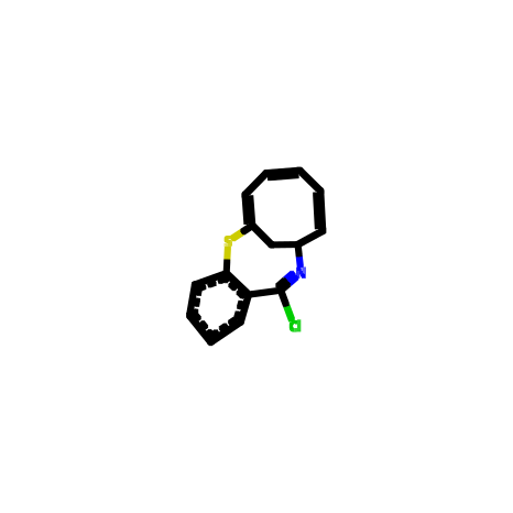 Cl/C1=N/C2C=C/C=C\C=C(/C2)Sc2ccccc21